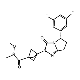 CON(C)C(=O)C12CC(n3nc4n(c3=O)[C@H](c3cc(F)cc(F)c3)CC4)(C1)C2